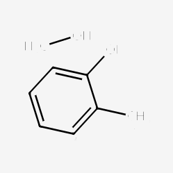 CO.Cc1ccccc1O